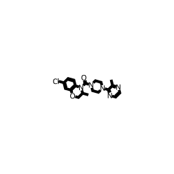 Cc1nccnc1N1CCN(C(=O)N2c3ccc(Cl)cc3OCC2C)CC1